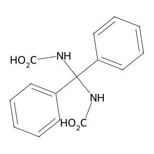 O=C(O)NC(NC(=O)O)(c1ccccc1)c1ccccc1